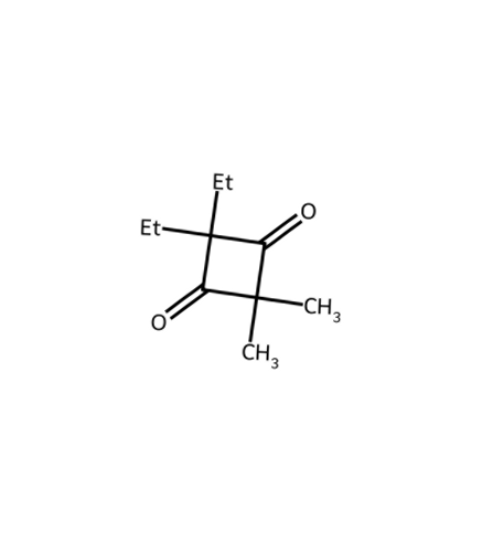 CCC1(CC)C(=O)C(C)(C)C1=O